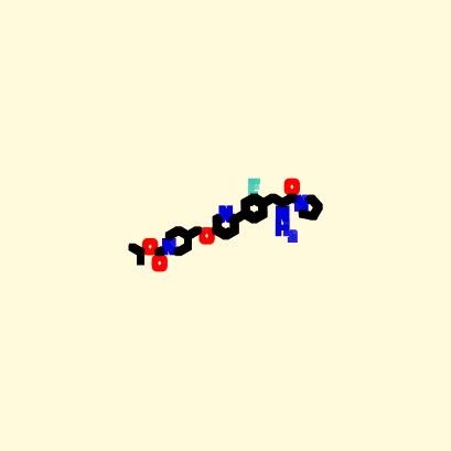 CC(C)OC(=O)N1CCC(COc2ccc(-c3ccc(CC(N)C(=O)N4CCCC4)c(F)c3)nc2)CC1